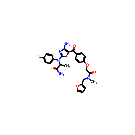 CC(C(N)=O)N(c1ccc(F)cc1)c1nc(N)c(C(=O)c2ccc(OCC(=O)N(C)Cc3ccco3)cc2)s1